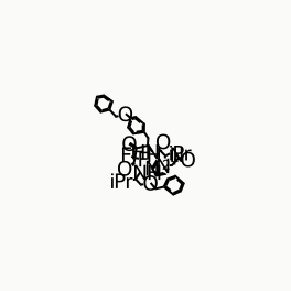 CC(C)C(COCc1ccccc1)NC(=O)C(F)(F)C(=O)C(Cc1ccc(OCc2ccccc2)cc1)NC(=O)C(C(C)C)[N+]1(CC(N)=O)C=CN=C1